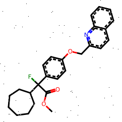 COC(=O)C(F)(c1ccc(OCc2ccc3ccccc3n2)cc1)C1CCCCCC1